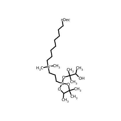 CCCCCCCCCCCCCCCCCC[N+](C)(C)CCC[Si]1(OC(C)(C)C(C)O)OC(C)C(C)(C)O1